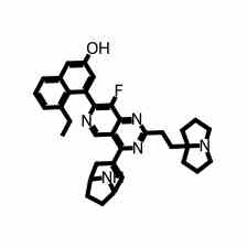 CCc1cccc2cc(O)cc(-c3ncc4c(C5=CC6CCC(C5)N6)nc(CCC56CCCN5CCC6)nc4c3F)c12